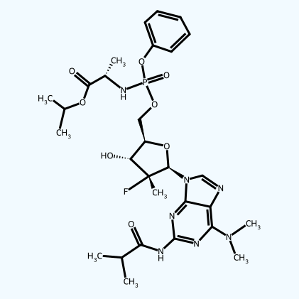 CC(C)OC(=O)[C@H](C)NP(=O)(OC[C@H]1O[C@@H](n2cnc3c(N(C)C)nc(NC(=O)C(C)C)nc32)[C@](C)(F)[C@@H]1O)Oc1ccccc1